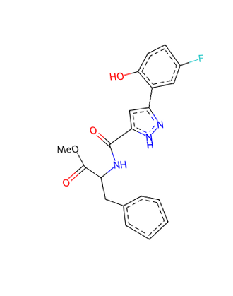 COC(=O)C(Cc1ccccc1)NC(=O)c1cc(-c2cc(F)ccc2O)n[nH]1